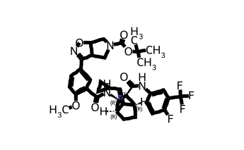 COc1ccc(C2=NOC3CN(C(=O)OC(C)(C)C)CC23)cc1C(=O)N[C@H]1[C@@H](C(=O)Nc2ccc(F)c(C(F)(F)F)c2)[C@H]2CC[C@@H]1/C2=C\C1CC1